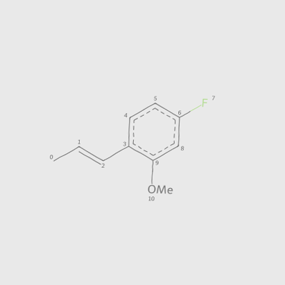 CC=Cc1ccc(F)cc1OC